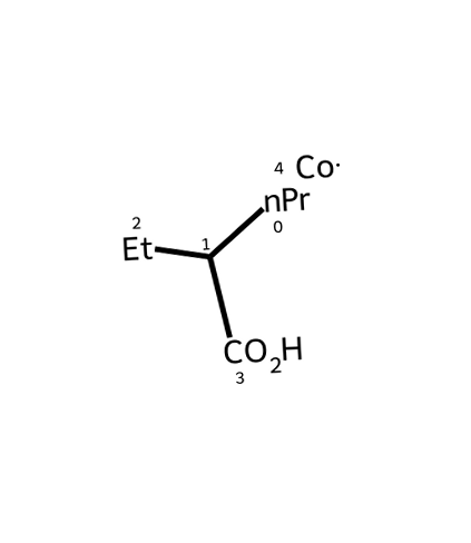 CCCC(CC)C(=O)O.[Co]